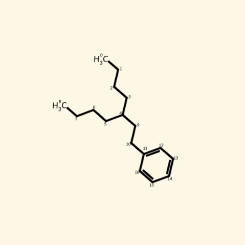 CCCCC(CCCC)CCc1ccccc1